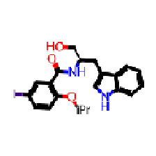 CC(C)Oc1ccc(I)cc1C(=O)N[C@@H](CO)Cc1c[nH]c2ccccc12